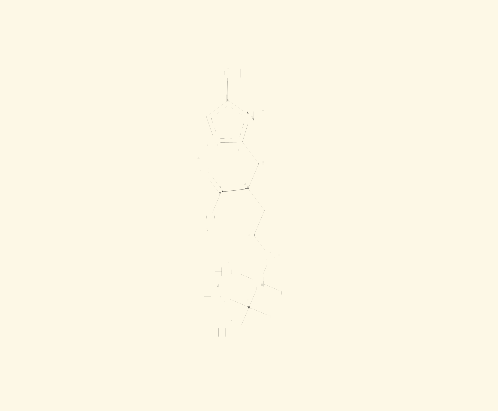 Cc1csc(CC(CCO[Si](C)(C)C(C)(C)C)C(=O)O)n1